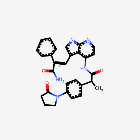 CC(C(=O)Nc1ccnc2[nH]cc(/C=C(/C(N)=O)c3ccccc3)c12)c1ccc(N2CCCC2=O)cc1